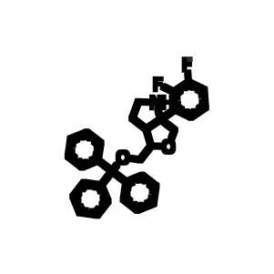 Fc1cccc(C23COC(COC(c4ccccc4)(c4ccccc4)c4ccccc4)C2CCN3)c1F